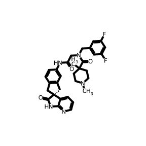 CN1CCC(C)(C(=O)N(CC(=O)Nc2ccc3c(c2)C[C@@]2(C3)C(=O)Nc3ncccc32)Cc2cc(F)cc(F)c2)CC1